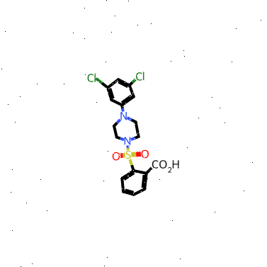 O=C(O)c1ccccc1S(=O)(=O)N1CCN(c2cc(Cl)cc(Cl)c2)CC1